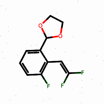 FC(F)=Cc1c(F)cccc1C1OCCO1